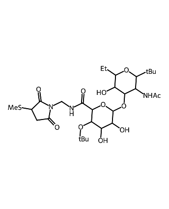 CCC1OC(C(C)(C)C)C(NC(C)=O)C(OC2OC(C(=O)NCN3C(=O)CC(SC)C3=O)C(OC(C)(C)C)C(O)C2O)C1O